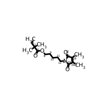 CCC(C)(C)C(=O)OCCCCCN1C(=O)C(C)=C(C)C1=O